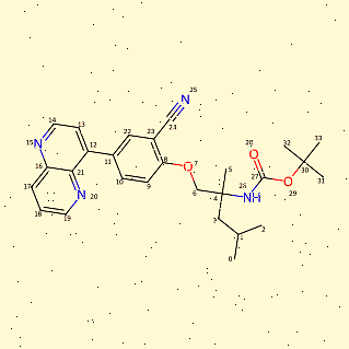 CC(C)CC(C)(COc1ccc(-c2ccnc3cccnc23)cc1C#N)NC(=O)OC(C)(C)C